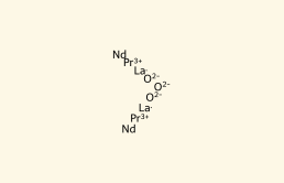 [La].[La].[Nd].[Nd].[O-2].[O-2].[O-2].[Pr+3].[Pr+3]